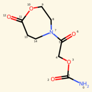 NC(=O)OCC(=O)N1CCOC(=O)CC1